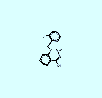 CO/N=C(/C#N)c1ccccc1OCc1ccccc1C